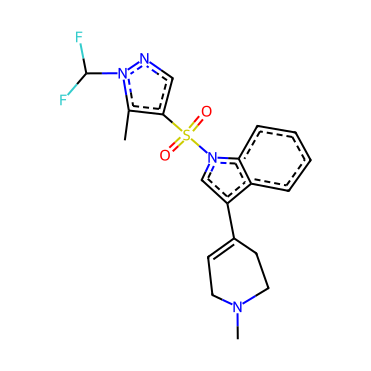 Cc1c(S(=O)(=O)n2cc(C3=CCN(C)CC3)c3ccccc32)cnn1C(F)F